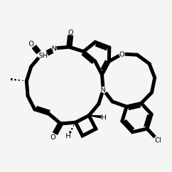 C[C@H]1C/C=C/C(=O)[C@@H]2CC[C@H]2CN2Cc3ccc(Cl)cc3CCCCOc3ccc(cc32)C(=O)/N=[SH](=O)\C1